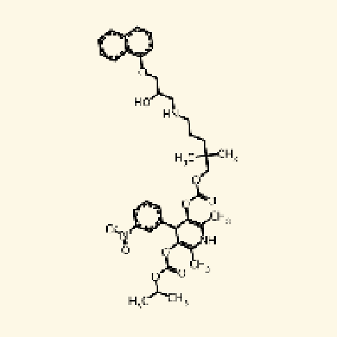 CC1=C(OC(=O)OCC(C)(C)CCCNCC(O)COc2cccc3ccccc23)C(c2cccc([N+](=O)[O-])c2)C(OC(=O)OC(C)C)=C(C)N1